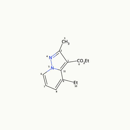 CCOC(=O)c1c(C)nn2cccc(CC)c12